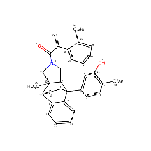 C=C(C(=O)N1CC2C3(c4ccc(OC)c(O)c4)CCC(c4ccccc43)C2(C(=O)O)C1)c1ccccc1OC